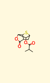 CC(C)C(=O)OC1C2CC3C(=O)OC1C3S2